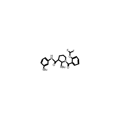 CCCCC1C(C(=O)Nc2cccc(C(C)(C)C)c2)CCCN1C(=O)c1ccccc1OC(F)F